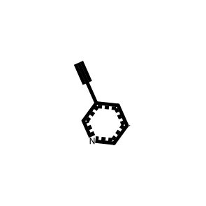 C#Cc1c[c]cnc1